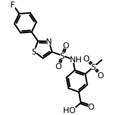 CS(=O)(=O)c1cc(C(=O)O)ccc1NS(=O)(=O)c1csc(-c2ccc(F)cc2)n1